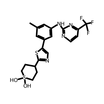 Cc1cc(Nc2nccc(C(F)(F)F)n2)cc(-c2cnc(C3CCS(O)(O)CC3)s2)c1